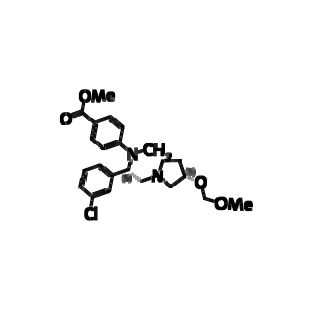 COCO[C@H]1CCN(C[C@H](c2cccc(Cl)c2)N(C)c2ccc(C(=O)OC)cc2)C1